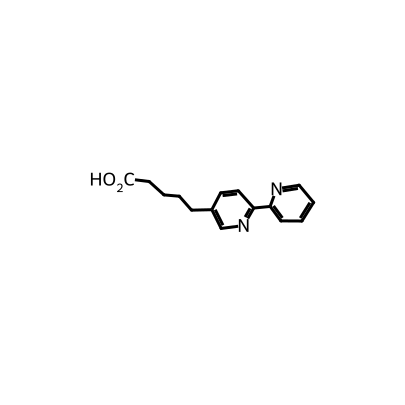 O=C(O)CCCCc1ccc(-c2ccccn2)nc1